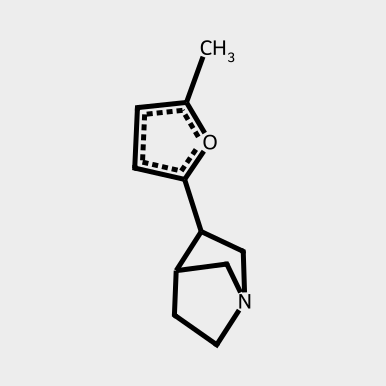 Cc1ccc(C2CN3CCC2C3)o1